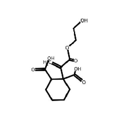 C=C(C(=O)OCCO)C1(C(=O)O)CCCCC1C(=O)O